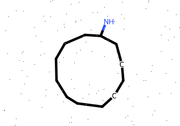 [NH]C1CCCCCCCCCCC1